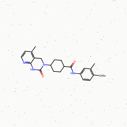 COc1ccc(NC(=O)C2CCC(N3Cc4c(C)ccnc4NC3=O)CC2)cc1C